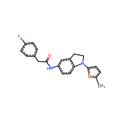 Cc1ccc(N2CCc3cc(NC(=O)Cc4ccc(F)cc4)ccc32)s1